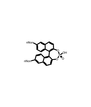 CCCCCCCCCc1ccc2c3c(ccc2c1)OP(=O)(O)Oc1ccc2cc(CCCCCCCCC)ccc2c1-3